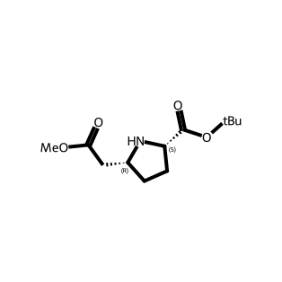 COC(=O)C[C@H]1CC[C@@H](C(=O)OC(C)(C)C)N1